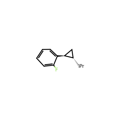 CC(C)[C@H]1C[C@@H]1c1ccccc1F